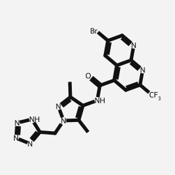 Cc1nn(Cc2nnn[nH]2)c(C)c1NC(=O)c1cc(C(F)(F)F)nc2ncc(Br)cc12